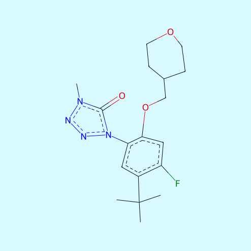 Cn1nnn(-c2cc(C(C)(C)C)c(F)cc2OCC2CCOCC2)c1=O